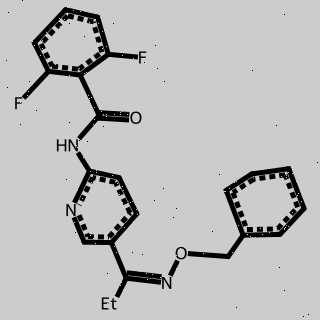 CCC(=NOCc1ccccc1)c1ccc(NC(=O)c2c(F)cccc2F)nc1